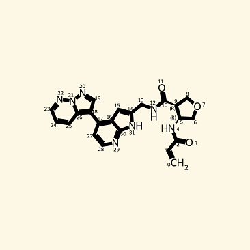 C=CC(=O)N[C@H]1COC[C@@H]1C(=O)NCc1cc2c(-c3cnn4ncccc34)ccnc2[nH]1